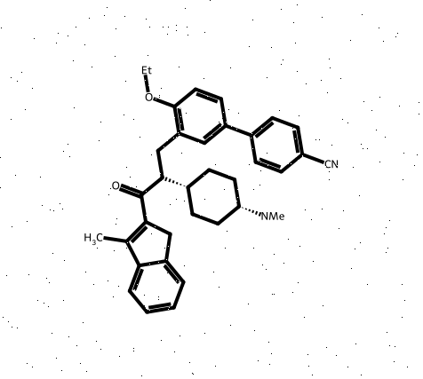 CCOc1ccc(-c2ccc(C#N)cc2)cc1CC(C(=O)C1=C(C)c2ccccc2C1)[C@H]1CC[C@@H](NC)CC1